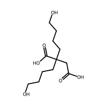 O=C(O)CC(CCCCO)(CCCCO)C(=O)O